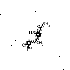 C=C(COc1ccc(Cl)c(C(F)(F)F)c1)CSc1ccc(OCC(=O)OCC)c(C)c1